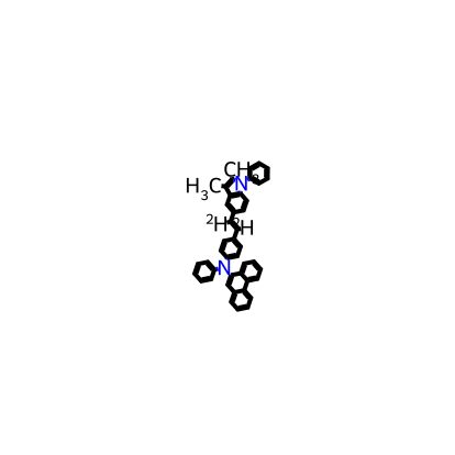 [2H]/C(=C(/[2H])c1ccc2c(c1)c(C)c(C)n2-c1ccccc1)c1ccc(N(c2ccccc2)c2cc3ccccc3c3ccccc23)cc1